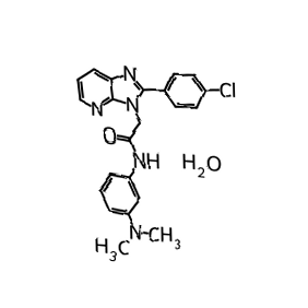 CN(C)c1cccc(NC(=O)Cn2c(-c3ccc(Cl)cc3)nc3cccnc32)c1.O